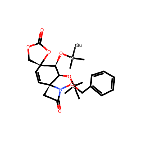 CC(C)(C)[Si](C)(C)O[C@H]1[C@@H](O[Si](C)(C)C)[C@]2(C=C[C@@]13COC(=O)O3)CC(=O)N2OCc1ccccc1